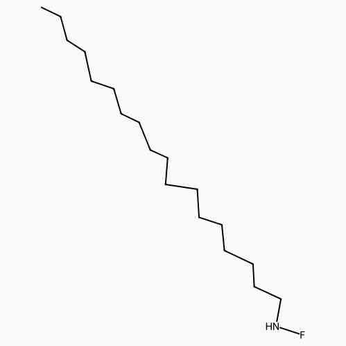 CCCCCCCCCCCCCCCCCCNF